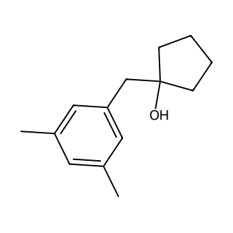 Cc1cc(C)cc(CC2(O)CCCC2)c1